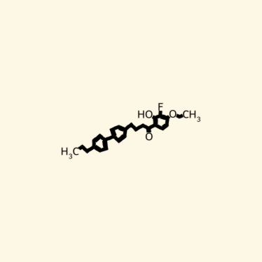 CCCc1ccc(-c2ccc(CCCC(=O)c3ccc(OCC)c(F)c3O)cc2)cc1